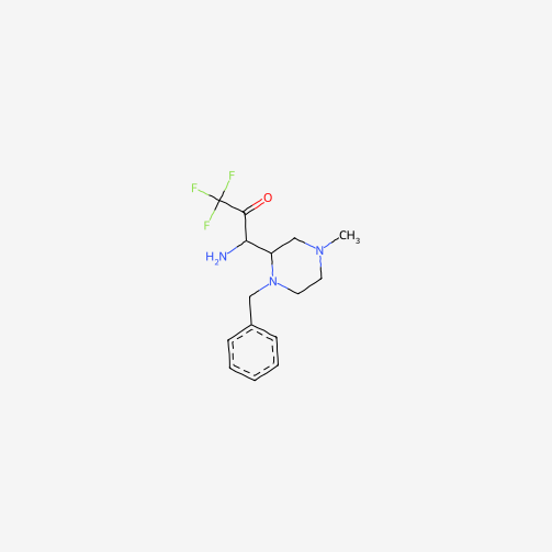 CN1CCN(Cc2ccccc2)C(C(N)C(=O)C(F)(F)F)C1